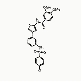 COc1ccc(C(=O)Nc2nc(-c3cccc(NS(=O)(=O)c4ccc(Cl)cc4)c3)cs2)cc1OC